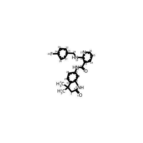 CC1(C)CC(=O)Nc2cc(NC(=O)c3cccnc3NCc3ccc(F)cc3)ccc21